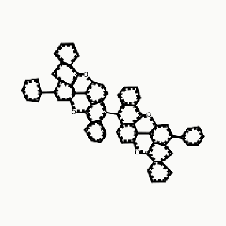 c1ccc(-c2cc3oc4c5ccccc5c(-c5c6ccccc6c6oc7cc(-c8ccccc8)c8cc9ccccc9c9oc%10ccc5c6c%10-c7c89)c5ccc6oc7c8ccccc8cc2c7c3-c6c54)cc1